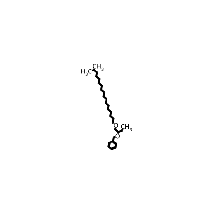 CCC(COCCCCCCCCCCCCCCCCC(C)C)OCc1ccccc1